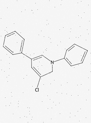 ClC1=CC(c2ccccc2)=CN(c2ccccc2)C1